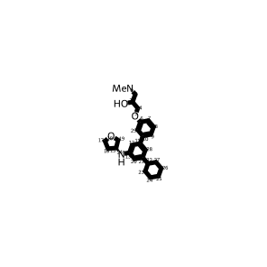 CNCC(O)COc1cccc(-c2cc(N[C@H]3CCOC3)cc(C3CCCCC3)c2)c1